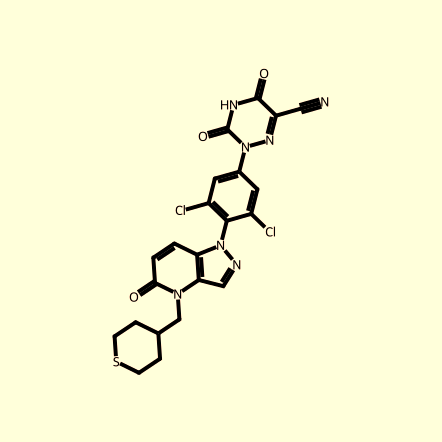 N#Cc1nn(-c2cc(Cl)c(-n3ncc4c3ccc(=O)n4CC3CCSCC3)c(Cl)c2)c(=O)[nH]c1=O